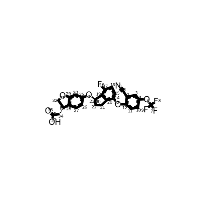 N#Cc1cc(OC(F)(F)F)ccc1Oc1ccc(F)c2c1CC[C@H]2Oc1ccc2c(c1)OC[C@H]2CC(=O)O